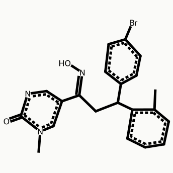 Cc1ccccc1C(CC(=NO)c1cnc(=O)n(C)c1)c1ccc(Br)cc1